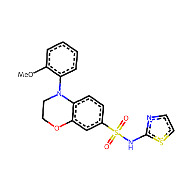 COc1ccccc1N1CCOc2cc(S(=O)(=O)Nc3nccs3)ccc21